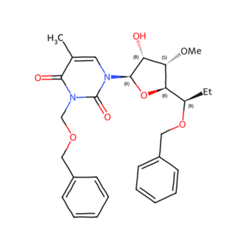 CC[C@@H](OCc1ccccc1)[C@H]1O[C@@H](n2cc(C)c(=O)n(COCc3ccccc3)c2=O)[C@H](O)[C@@H]1OC